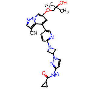 CC(C)(O)COc1cc(-c2ccc(N3CC(n4ccc(NC(=O)C5CC5)n4)C3)nc2)c2c(C#N)cnn2c1